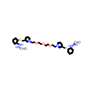 O=CNNc1ccccc1SCc1ccc[n+](CCOCCOCCOCC[n+]2cccc(CSc3ccccc3NNC=O)c2)c1